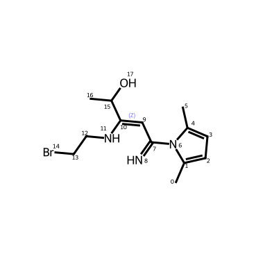 Cc1ccc(C)n1C(=N)/C=C(\NCCBr)C(C)O